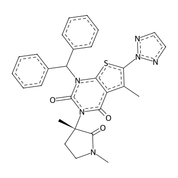 Cc1c(-n2nccn2)sc2c1c(=O)n([C@@]1(C)CCN(C)C1=O)c(=O)n2C(c1ccccc1)c1ccccc1